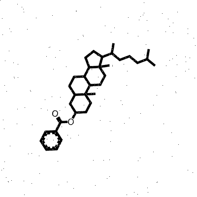 CC(C)CCCC(C)C1CCC2C3CCC4CC(OC(=O)c5ccccc5)CCC4(C)C3CCC12C